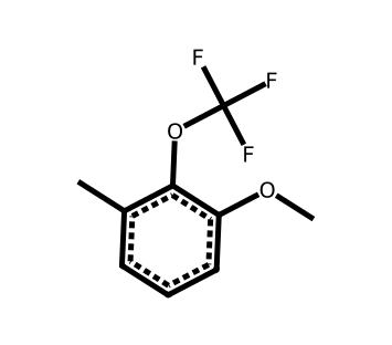 COc1cccc(C)c1OC(F)(F)F